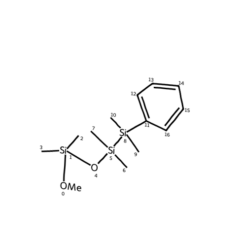 CO[Si](C)(C)O[Si](C)(C)[Si](C)(C)c1ccccc1